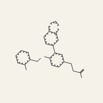 O=C(O)CCc1ccc(OCc2ccccc2Cl)c(-c2ccc3ncsc3c2)c1